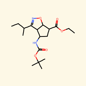 CCOC(=O)C1CC(NC(=O)OC(C)(C)C)C2C(C(C)CC)=NOC12